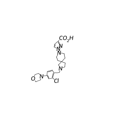 O=C(O)c1ccn(N2CCC3(CCN(Cc4ccc(N5CCOCC5)cc4Cl)C3)CC2)n1